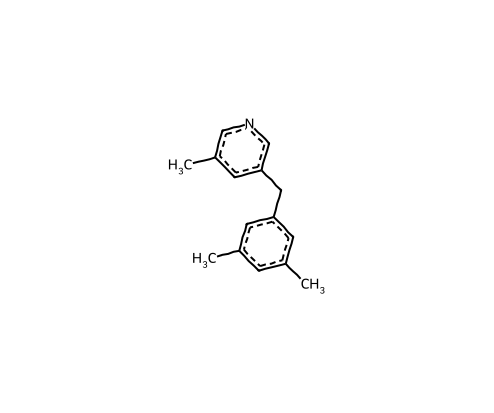 Cc1cncc(Cc2cc(C)cc(C)c2)c1